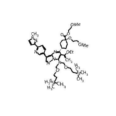 C=C(OCC)c1c(N(COCC[Si](C)(C)C)COCC[Si](C)(C)C)n2ncc(-c3ccc(-c4ccn(C)n4)nc3)c2nc1[C@H]1CC[C@@](OCCOC)(C(=O)OCCOC)CC1